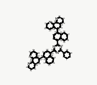 c1ccc(-c2nc(-c3ccc(-c4cc5cccnc5c5ncccc45)c4ccccc34)nc(-c3ccc(-c4cc5cccnc5c5ncccc45)c4ccccc34)n2)cc1